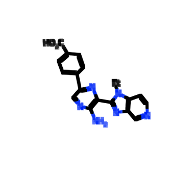 CCn1c(-c2nc(-c3ccc(C(=O)O)cc3)cnc2N)nc2cnccc21